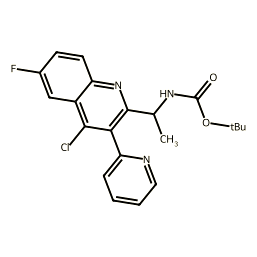 CC(NC(=O)OC(C)(C)C)c1nc2ccc(F)cc2c(Cl)c1-c1ccccn1